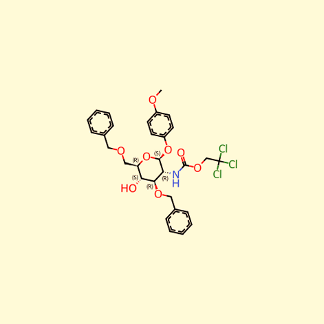 COc1ccc(O[C@@H]2O[C@H](COCc3ccccc3)[C@@H](O)[C@H](OCc3ccccc3)[C@H]2NC(=O)OCC(Cl)(Cl)Cl)cc1